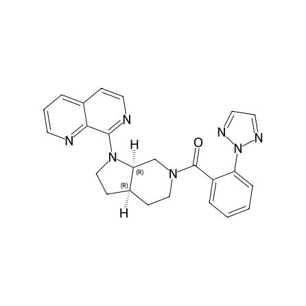 O=C(c1ccccc1-n1nccn1)N1CC[C@H]2CCN(c3nccc4cccnc34)[C@H]2C1